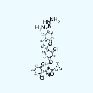 NN/N=C(\N)c1ccc2c(c1)CCC(c1ccc(OCc3c(-c4c(Cl)cccc4Cl)noc3C3CC3)cc1Cl)O2